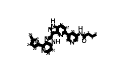 CCCC(=O)Nc1cncc(-c2ccc3[nH]nc(-c4nc5c(-c6ccc(C)s6)nccc5[nH]4)c3n2)c1